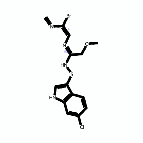 C=N/C(Br)=C\N=C(/COC)NSc1c[nH]c2cc(Cl)ccc12